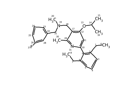 CCc1cccc(CC)c1-c1cc(OC(C)C)c(CN(C)Cc2cccc(F)c2)c(C)n1